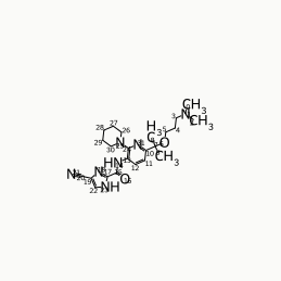 CN(C)CCCOC(C)(C)c1ccc(NC(=O)c2nc(C#N)c[nH]2)c(N2CCCCC2)n1